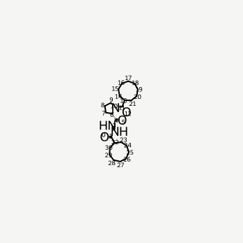 O=C(NNC(=O)[C@@H]1CCCN1C(=O)C1CCCCCCCC1)C1CCCCCCCC1